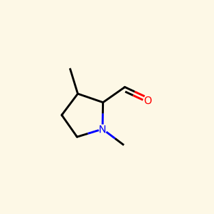 CC1CCN(C)C1C=O